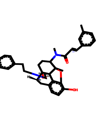 Cc1cccc(/C=C/C(=O)N(C)C2CC[C@@]3(O)[C@H]4Cc5ccc(O)c6c5[C@@]3(CCN4CCc3ccccc3)C2(C)O6)c1